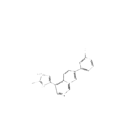 Cc1nc(-c2cncc3cc(-c4cccc(F)c4)ccc23)c[nH]1